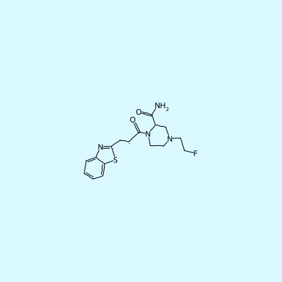 NC(=O)C1CN(CCF)CCN1C(=O)[CH]Cc1nc2ccccc2s1